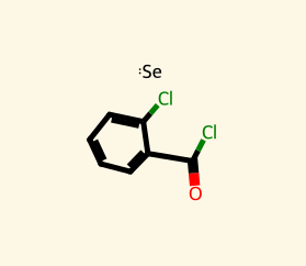 O=C(Cl)c1ccccc1Cl.[Se]